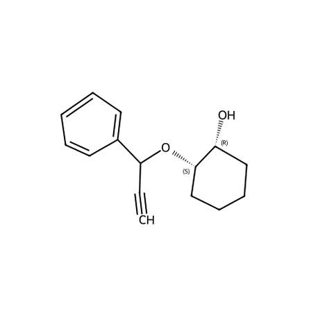 C#CC(O[C@H]1CCCC[C@H]1O)c1ccccc1